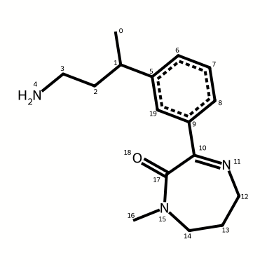 CC(CCN)c1cccc(C2=NCCCN(C)C2=O)c1